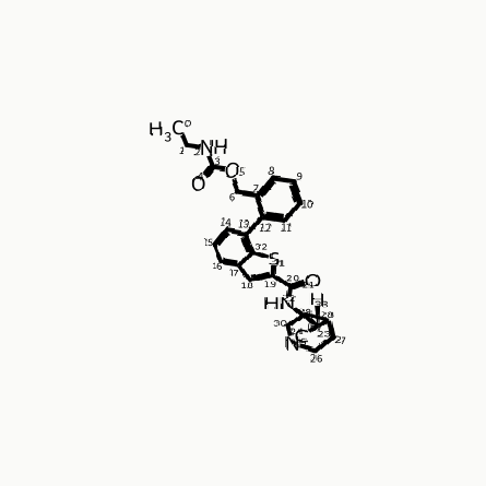 CCNC(=O)OCc1ccccc1-c1cccc2cc(C(=O)N[C@H]3CN4CCC3CC4)sc12